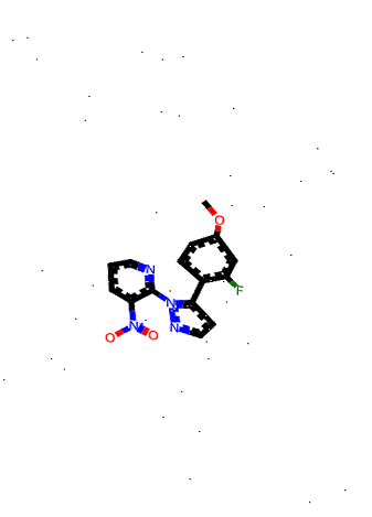 COc1ccc(-c2ccnn2-c2ncccc2[N+](=O)[O-])c(F)c1